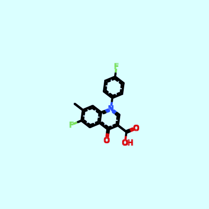 Cc1cc2c(cc1F)c(=O)c(C(=O)O)cn2-c1ccc(F)cc1